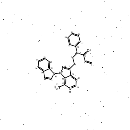 C=CC(=O)N(CCc1nn(-n2ccc3ccccc32)c2c(N)ncnc12)c1ccccc1